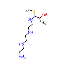 CCCCSC(NCCNCCNCCN)C(C)O